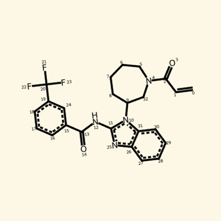 C=CC(=O)N1CCCCC(n2c(NC(=O)c3cccc(C(F)(F)F)c3)nc3ccccc32)C1